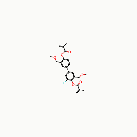 C=C(C)C(=O)Oc1ccc(-c2cc(F)c(OC(=O)C(=C)C)c(COC)c2)cc1COC